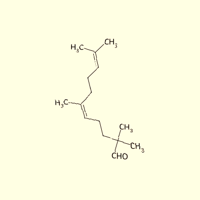 CC(C)=CCCC(C)=CCCC(C)(C)C=O